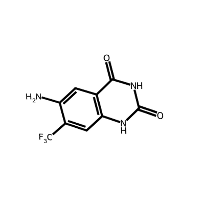 Nc1cc2c(=O)[nH]c(=O)[nH]c2cc1C(F)(F)F